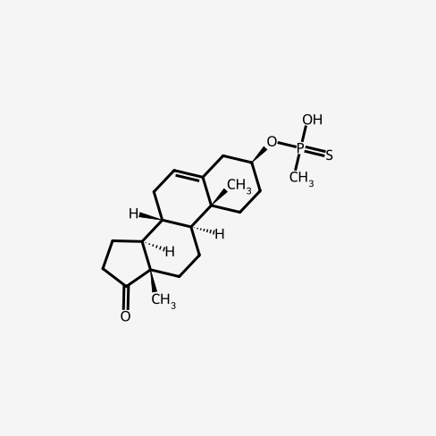 C[C@]12CC[C@H](OP(C)(O)=S)CC1=CC[C@@H]1[C@@H]2CC[C@]2(C)C(=O)CC[C@@H]12